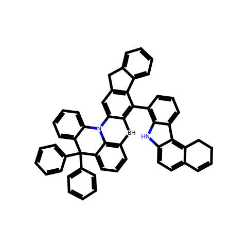 B1c2cccc3c2N(c2ccccc2C3(c2ccccc2)c2ccccc2)c2cc3c(c(-c4cccc5c4[nH]c4ccc6c(c45)CCC=C6)c21)-c1ccccc1C3